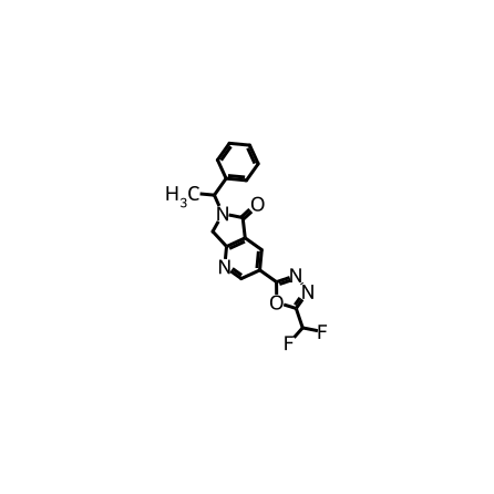 CC(c1ccccc1)N1Cc2ncc(-c3nnc(C(F)F)o3)cc2C1=O